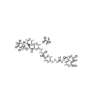 C[N+]1(C)[C@@H]2C[C@@H](OC(=O)Nc3cc(CCC(=O)Nc4ccc(CCCNC[C@H](O)c5ccc(O)c6[nH]c(=O)ccc56)cc4)ccc3-c3ccccc3)C[C@H]1[C@@H]1O[C@@H]12.O=C([O-])C(F)(F)F